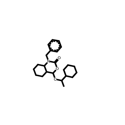 CC(OC1OC(=O)N(Cc2ccccc2)C2CCCCC12)C1CCCCC1